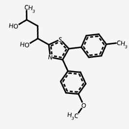 COc1ccc(-c2nc(C(O)CC(C)O)sc2-c2ccc(C)cc2)cc1